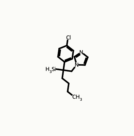 CCCCC([SiH3])(Cn1ccnc1)c1ccc(Cl)cc1